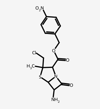 CC1(CCl)SC2C(N)C(=O)N2C1C(=O)OCc1ccc([N+](=O)[O-])cc1